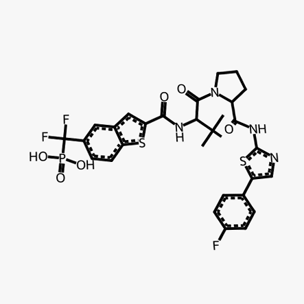 CC(C)(C)C(NC(=O)c1cc2cc(C(F)(F)P(=O)(O)O)ccc2s1)C(=O)N1CCCC1C(=O)Nc1ncc(-c2ccc(F)cc2)s1